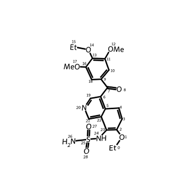 CCOc1ccc2c(C(=O)c3cc(OC)c(OCC)c(OC)c3)cncc2c1NS(N)(=O)=O